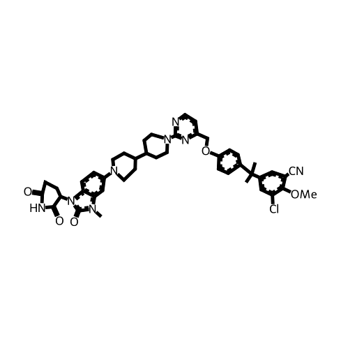 COc1c(Cl)cc(C(C)(C)c2ccc(OCc3ccnc(N4CCC(C5CCN(c6ccc7c(c6)n(C)c(=O)n7C6CCC(=O)NC6=O)CC5)CC4)n3)cc2)cc1C#N